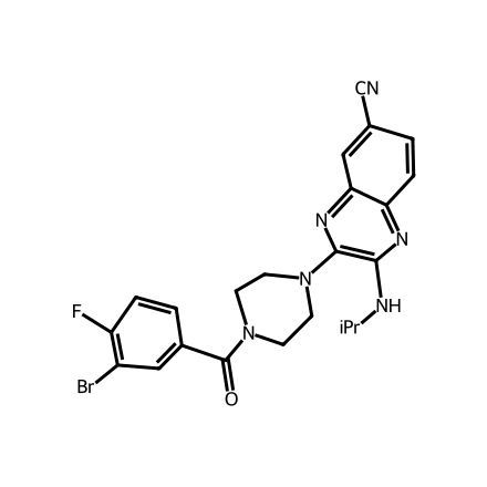 CC(C)Nc1nc2ccc(C#N)cc2nc1N1CCN(C(=O)c2ccc(F)c(Br)c2)CC1